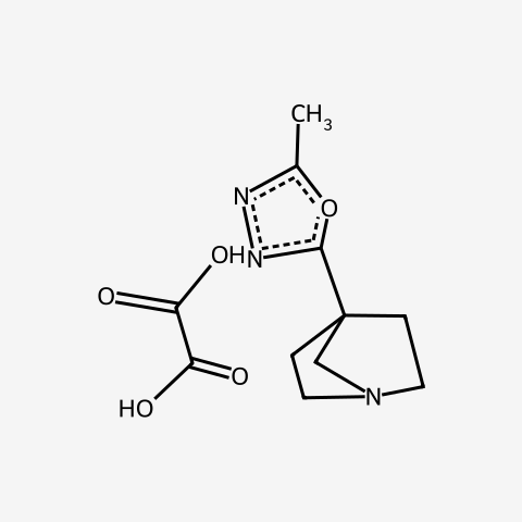 Cc1nnc(C23CCN(CC2)C3)o1.O=C(O)C(=O)O